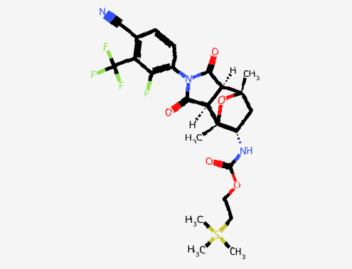 C[C@@]12O[C@@](C)(C[C@@H]1NC(=O)OCCS(C)(C)C)[C@@H]1C(=O)N(c3ccc(C#N)c(C(F)(F)F)c3F)C(=O)[C@@H]12